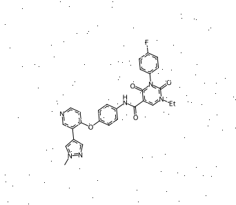 CCn1cc(C(=O)Nc2ccc(Oc3ccncc3-c3cnn(C)c3)cc2)c(=O)n(-c2ccc(F)cc2)c1=O